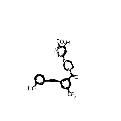 O=C(O)c1ccc(N2CCN(C(=O)c3cc(C#Cc4cccc(O)c4)cc(C(F)(F)F)c3)CC2)nn1